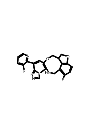 Fc1cccnc1-c1cc2c(n3cnnc13)NCc1c(F)ccc3c1[C@@H](CO3)CO2